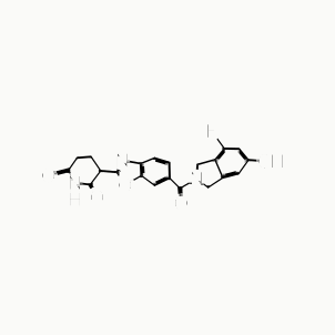 Cc1cc(F)c2c(c1)CN(C(=O)c1ccc3nc(C4CCC(=O)NC4=O)oc3c1)C2